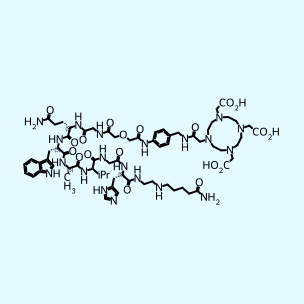 CC(C)C(NC(=O)[C@H](C)NC(=O)[C@H](Cc1c[nH]c2ccccc12)NC(=O)[C@H](CCC(N)=O)NC(=O)CNC(=O)COCC(=O)Nc1ccc(CNC(=O)CN2CCN(CC(=O)O)CCN(CC(=O)O)CCN(CC(=O)O)CC2)cc1)C(=O)NCC(=O)N[C@@H](Cc1cnc[nH]1)C(=O)NCCNCCCCC(N)=O